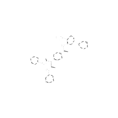 Nc1ccc(-c2ccccc2)cc1NC(=O)c1ccc(C(C(=O)Nc2ccccc2)C(=O)Nc2ccccc2)cc1